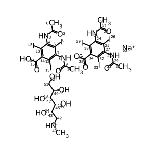 CC(=O)Nc1c(I)c(NC(C)=O)c(I)c(C(=O)O)c1I.CC(=O)Nc1c(I)c(NC(C)=O)c(I)c(C(=O)[O-])c1I.CNC[C@H](O)[C@@H](O)[C@H](O)[C@H](O)CO.[Na+]